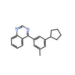 Cc1cc(-c2ncnc3ccccc23)cc(C2CCCC2)c1